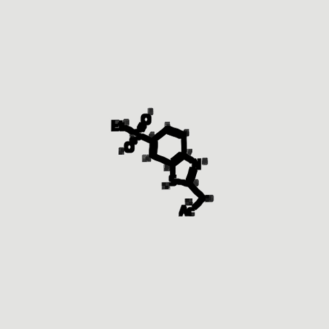 CCS(=O)(=O)c1ccc2nc(CC(C)=O)sc2c1